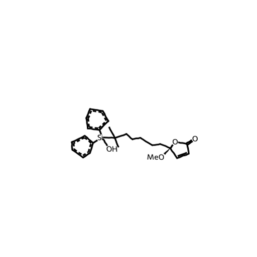 CO[C@]1(CCCCCC(C)(C)[Si](O)(c2ccccc2)c2ccccc2)C=CC(=O)O1